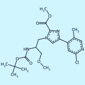 COCC(Cn1cc(-c2cc(Cl)ncc2C)nc1C(=O)OC)NC(=O)OC(C)(C)C